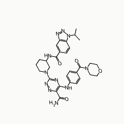 CC(C)n1nnc2cc(C(=O)NC3CCCN(c4nnc(C(N)=O)c(Nc5ccc(C(=O)N6CCOCC6)cc5)n4)C3)ccc21